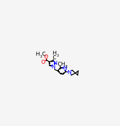 COC(=O)c1cn(Cc2ccc(N3CC4(CC4)C3)nc2C)nc1C